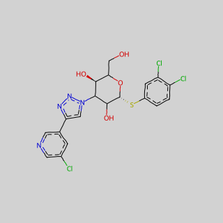 OCC1O[C@H](Sc2ccc(Cl)c(Cl)c2)C(O)C(n2cc(-c3cncc(Cl)c3)nn2)[C@H]1O